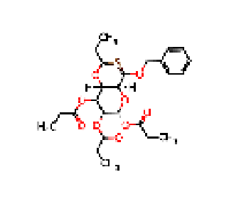 CCC(=O)O[C@H]1O[C@@H]2C(OCc3ccccc3)=S=C(CC)O[C@H]2[C@H](OC(=O)CC)[C@H]1OC(=O)CC